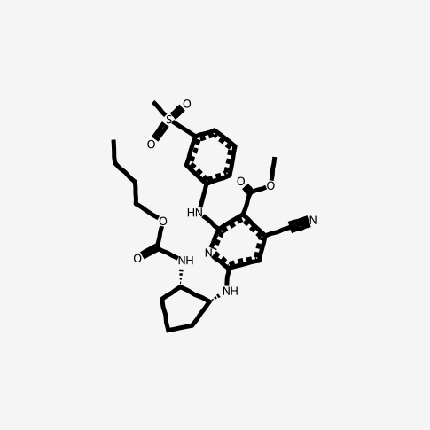 CCCCOC(=O)N[C@H]1CCC[C@H]1Nc1cc(C#N)c(C(=O)OC)c(Nc2cccc(S(C)(=O)=O)c2)n1